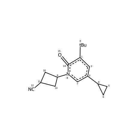 CC(C)(C)c1cc(C2CC2)cn(C2CC(C#N)C2)c1=O